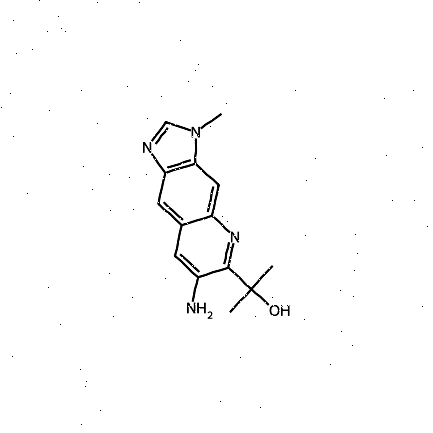 Cn1cnc2cc3cc(N)c(C(C)(C)O)nc3cc21